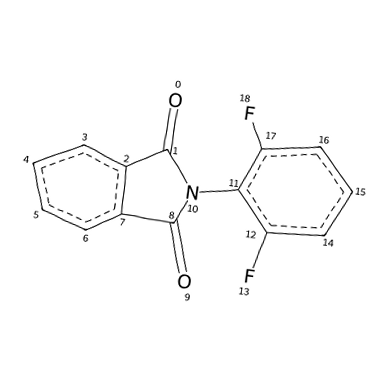 O=C1c2ccccc2C(=O)N1c1c(F)cccc1F